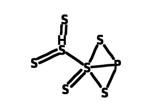 S=[SH](=S)S12(=S)SP1S2